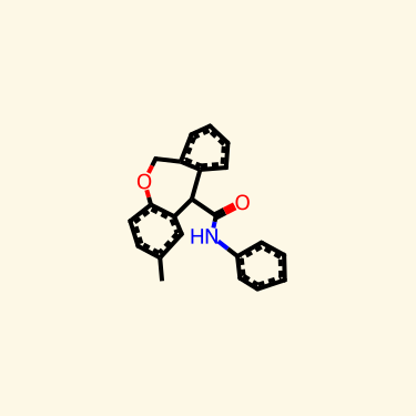 Cc1ccc2c(c1)C(C(=O)Nc1ccccc1)c1ccccc1CO2